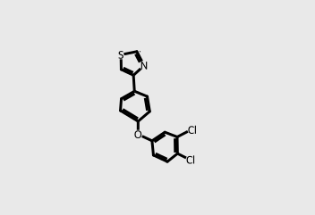 Clc1ccc(Oc2ccc(-c3cs[c]n3)cc2)cc1Cl